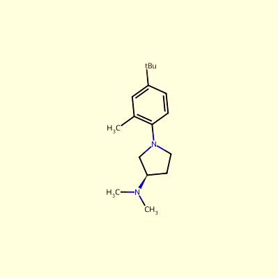 Cc1cc(C(C)(C)C)ccc1N1CC[C@@H](N(C)C)C1